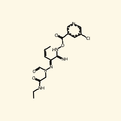 C/C=C\C(=N/N(C=O)CC(=O)NCC)C(=N)NOC(=O)c1cncc(Cl)c1